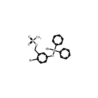 CC(C)(C)[Si](Oc1ccc(Br)c(COS(C)(=O)=O)c1)(c1ccccc1)c1ccccc1